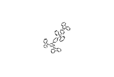 c1ccc([Si](c2ccccc2)(c2ccc(-c3cc(-n4c5ccccc5c5ccccc54)nc(-n4c5ccccc5c5ccccc54)n3)cc2)c2ccc(-n3c4ccccc4c4ccccc43)cc2)cc1